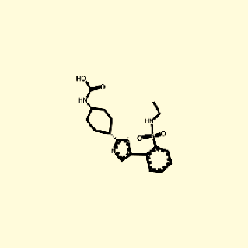 CCNS(=O)(=O)c1ccccc1-c1cnc([C@H]2CC[C@H](NC(=O)O)CC2)s1